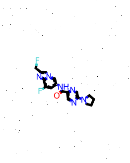 O=C(Nc1cc(F)c2nc(CF)cn2c1)c1cnc(N2CCCC2)cn1